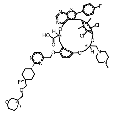 Cc1c(Cl)c2c(Cl)c(C)c1-c1c(-c3ccc(F)cc3)sc3ncnc(c13)O[C@@H](C(=O)O)Cc1cc(ccc1OCc1ccnc([C@H]3CC[C@@](F)(COC[C@@H]4COCCO4)CC3)n1)OC[C@@H](CN1CCN(C)CC1)O2